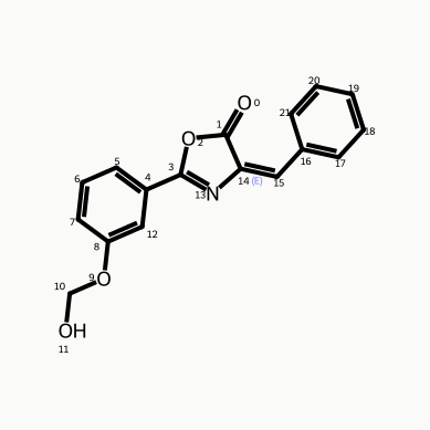 O=C1OC(c2cccc(OCO)c2)=N/C1=C/c1ccccc1